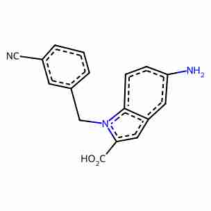 N#Cc1cccc(Cn2c(C(=O)O)cc3cc(N)ccc32)c1